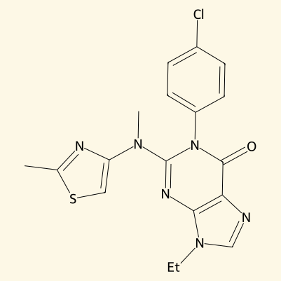 CCn1cnc2c(=O)n(-c3ccc(Cl)cc3)c(N(C)c3csc(C)n3)nc21